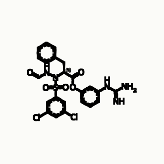 N=C(N)Nc1cccc(OC(=O)[C@H](Cc2ccccc2)N(NC=O)S(=O)(=O)c2cc(Cl)cc(Cl)c2)c1